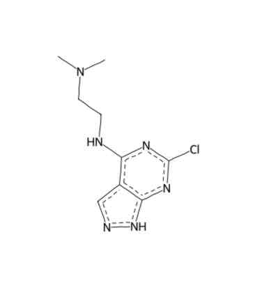 CN(C)CCNc1nc(Cl)nc2[nH]ncc12